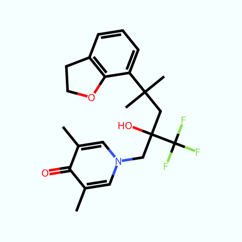 Cc1cn(CC(O)(CC(C)(C)c2cccc3c2OCC3)C(F)(F)F)cc(C)c1=O